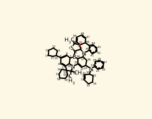 CC1CC2C(S1)B1C3C=C(C4CCCCC4)C=C4C3N(C3=CC(N(c5ccccc5)C5C=CCCC5)CC(C13)N2c1ccccc1C1C=CC=CC1)C(C)(C)C41CCCCC1